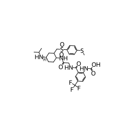 CSc1ccc(S(=O)(=O)CC2C[C@H](NC(C)C)CCC2NC(=O)CNC(=O)c2cc(C(F)(F)F)ccc2NC(=O)O)cc1